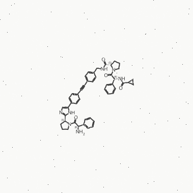 N[C@@H](C(=O)N1CCC[C@H]1c1ncc(-c2ccc(C#Cc3ccc(CNC(=O)[C@@H]4CCCN4C(=O)[C@H](NC(=O)C4CC4)c4ccccc4)cc3)cc2)[nH]1)c1ccccc1